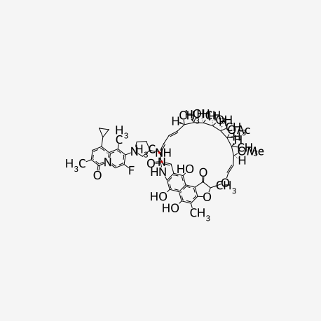 CO[C@H]1/C=C/O[C@@]2(C)Oc3c(C)c(O)c4c(O)c(c(/C=N/NC5CCN(c6c(F)cn7c(=O)c(C)cc(C8CC8)c7c6C)C5)c(O)c4c3C2=O)NC(=O)/C(C)=C\C=C\[C@H](C)[C@H](O)[C@@H](C)[C@@H](O)[C@@H](C)[C@H](OC(C)=O)[C@@H]1C